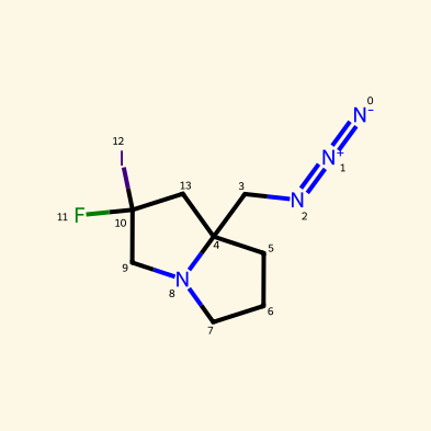 [N-]=[N+]=NCC12CCCN1CC(F)(I)C2